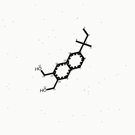 CCC(C)(C)c1ccc2cc(CO)c(CO)cc2c1